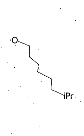 [CH2]C(C)CCCCCC[O]